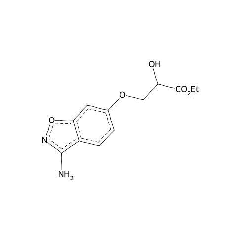 CCOC(=O)C(O)COc1ccc2c(N)noc2c1